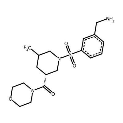 NCc1cccc(S(=O)(=O)N2CC(C(F)(F)F)C[C@@H](C(=O)N3CCOCC3)C2)c1